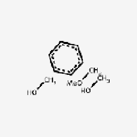 CO.CO.COC.c1ccccc1